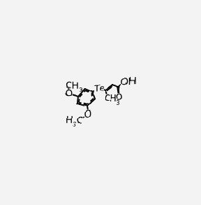 COc1cc(OC)cc([Te]/C(C)=C/C(=O)O)c1